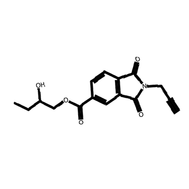 C#CCN1C(=O)c2ccc(C(=O)OCC(O)CC)cc2C1=O